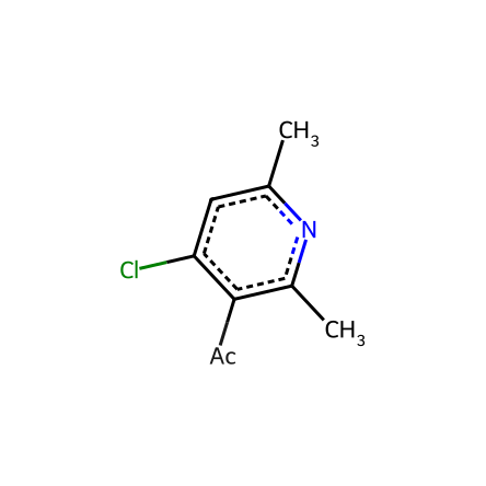 CC(=O)c1c(Cl)cc(C)nc1C